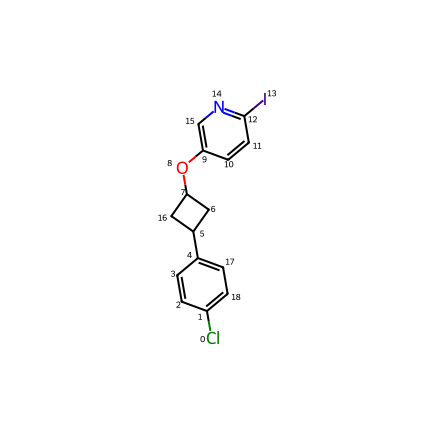 Clc1ccc(C2CC(Oc3ccc(I)nc3)C2)cc1